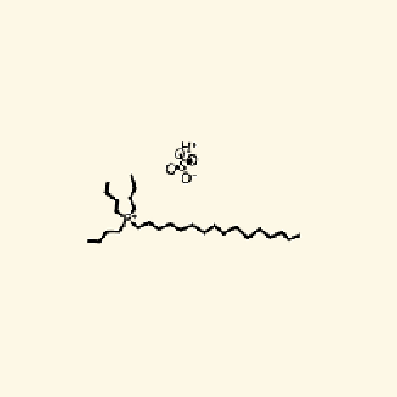 CCCCCCCCCCCCCCCC[P+](CCCC)(CCCC)CCCC.O=S(=O)([O-])[O-].[H+]